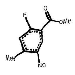 CNc1cc(F)c(C(=O)OC)cc1N=O